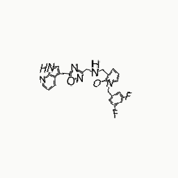 O=c1c(CNCc2noc(-c3c[nH]c4ncccc34)n2)cccn1Cc1cc(F)cc(F)c1